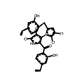 C=Cc1ccc(Cc2cc(Cl)c(Cl)n2-c2c(C(=O)c3ccc(C=C)cc3O)[nH]c(Cl)c2Cl)c(O)c1